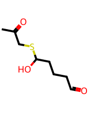 CC(=O)CSC(O)CCCC=O